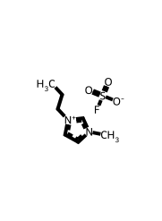 CCC[n+]1ccn(C)c1.O=S(=O)([O-])F